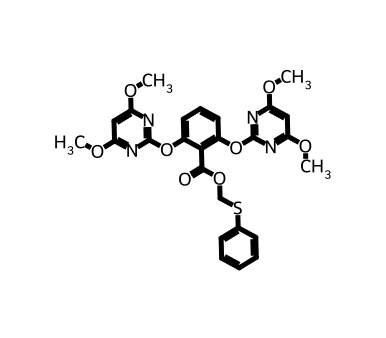 COc1cc(OC)nc(Oc2cccc(Oc3nc(OC)cc(OC)n3)c2C(=O)OCSc2ccccc2)n1